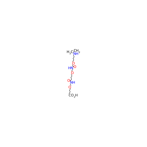 C=C(C)NCCCCCOCC(=O)NCCOCCCCC(=O)NCCOCCCCC(=O)O